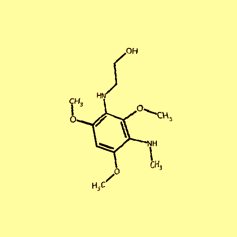 CNc1c(OC)cc(OC)c(NCCO)c1OC